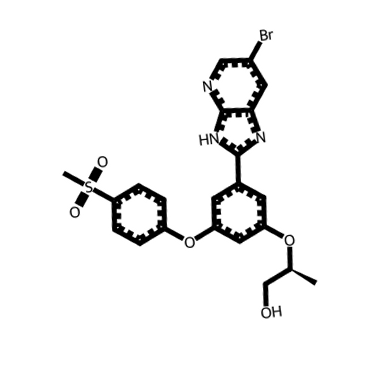 C[C@@H](CO)Oc1cc(Oc2ccc(S(C)(=O)=O)cc2)cc(-c2nc3cc(Br)cnc3[nH]2)c1